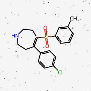 Cc1cccc(S(=O)(=O)C2=C(c3ccc(Cl)cc3)CCNCC2)c1